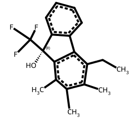 CCc1c(C)c(C)c(C)c2c1-c1ccccc1[C@]2(O)C(F)(F)F